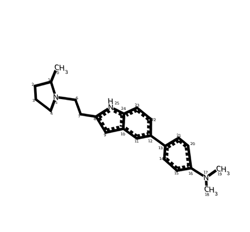 CC1CCCN1CCc1cc2cc(-c3ccc(N(C)C)cc3)ccc2[nH]1